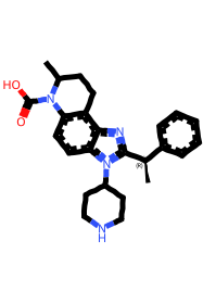 CC1CCc2c(ccc3c2nc([C@H](C)c2ccccc2)n3C2CCNCC2)N1C(=O)O